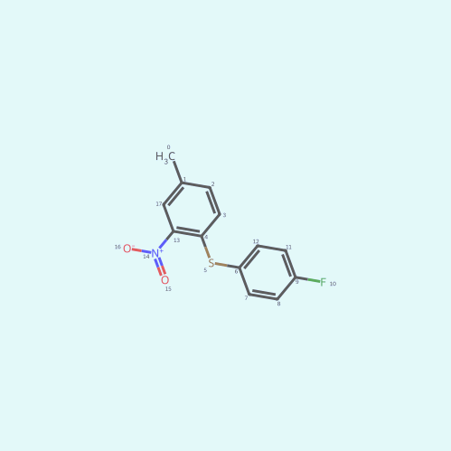 Cc1ccc(Sc2ccc(F)cc2)c([N+](=O)[O-])c1